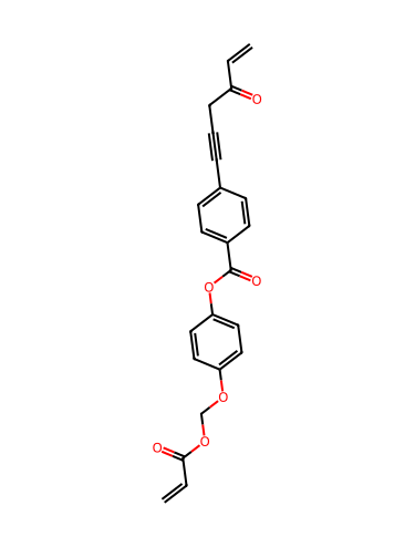 C=CC(=O)CC#Cc1ccc(C(=O)Oc2ccc(OCOC(=O)C=C)cc2)cc1